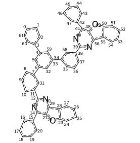 c1ccc(-c2cc(-c3cccc(-c4nc(-c5ccccc5)c5oc6ccccc6c5n4)c3)cc(-c3cccc(-c4nc(-c5ccccc5)c5oc6ccccc6c5n4)c3)c2)cc1